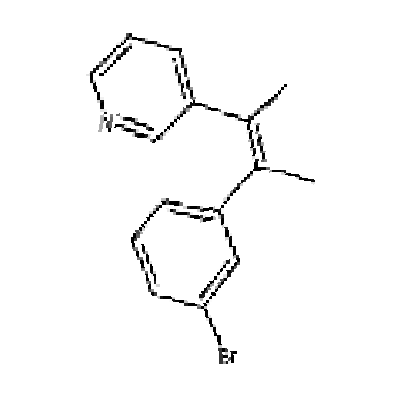 CC(=C(C)c1cccc(Br)c1)c1cccnc1